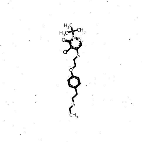 CCSCCc1ccc(OCCSc2cnn(C(C)(C)C)c(=O)c2Cl)cc1